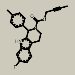 CC#CCOC(=O)N1CCc2c([nH]c3cc(F)ccc23)C1c1ccc(C)cc1